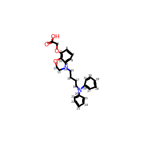 O=C(O)COc1cccc2c1OCCN2CCCCN(c1ccccc1)c1ccccc1